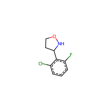 Fc1cccc(Cl)c1C1CCON1